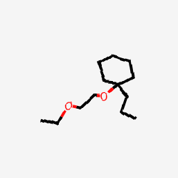 CCCC1(OCCOCC)CCCCC1